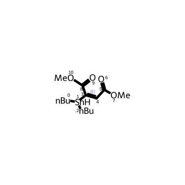 CCC[CH2][SnH]([CH2]CCC)/[C](=C/C(=O)OC)C(=O)OC